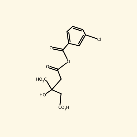 O=C(O)CC(O)(CC(=O)OC(=O)c1cccc(Cl)c1)C(=O)O